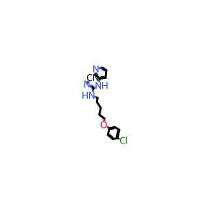 N#CN=C(NCCCCCOc1ccc(Cl)cc1)Nc1cccnc1